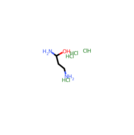 Cl.Cl.Cl.Cl.NCCC(N)O